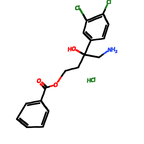 Cl.NCC(O)(CCOC(=O)c1ccccc1)c1ccc(Cl)c(Cl)c1